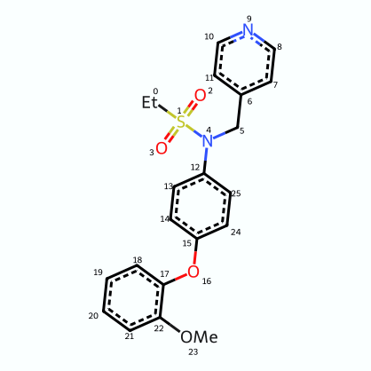 CCS(=O)(=O)N(Cc1ccncc1)c1ccc(Oc2ccccc2OC)cc1